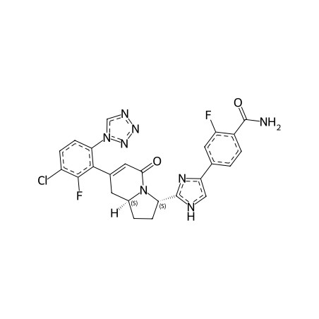 NC(=O)c1ccc(-c2c[nH]c([C@@H]3CC[C@H]4CC(c5c(-n6cnnn6)ccc(Cl)c5F)=CC(=O)N43)n2)cc1F